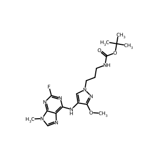 COc1nn(CCCNC(=O)OC(C)(C)C)cc1Nc1nc(F)nc2c1ncn2C